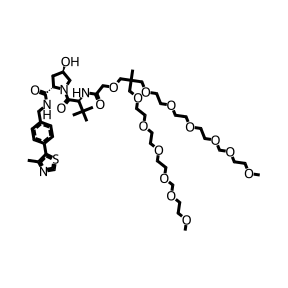 COCCOCOCCOCCOCCOCC(C)(COCCOCCOCCOCOCCOC)COCC(=O)N[C@H](C(=O)N1C[C@H](O)C[C@H]1C(=O)NCc1ccc(-c2scnc2C)cc1)C(C)(C)C